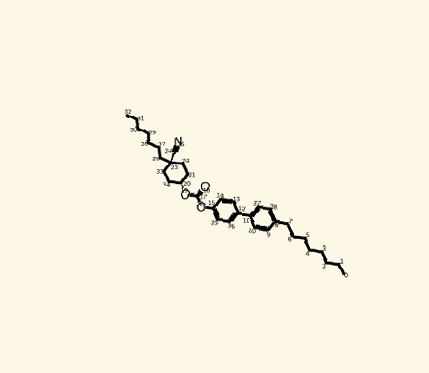 CCCCCCCCc1ccc(-c2ccc(OC(=O)O[C@H]3CC[C@@](C#N)(CCCCCCC)CC3)cc2)cc1